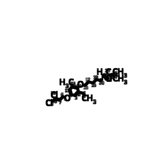 CCc1cc(OCC=C(Cl)Cl)cc(C)c1OCCCCC=NOC(C)(C)C